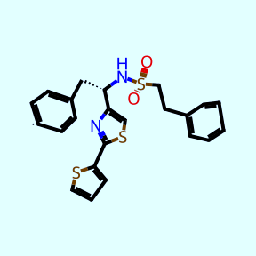 O=S(=O)(CCc1ccccc1)N[C@@H](Cc1cc[c]cc1)c1csc(-c2cccs2)n1